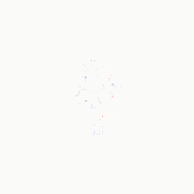 CCC(N)(CC)C(O)Cn1cc(C2=C(c3c[nH]c4ccccc34)C(=O)NC2=O)c2ccccc21